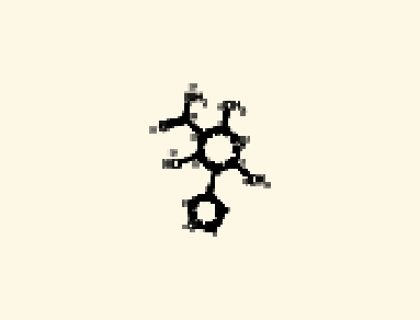 Cc1nc(C)c(-c2ccoc2)c(O)c1C(N)=O